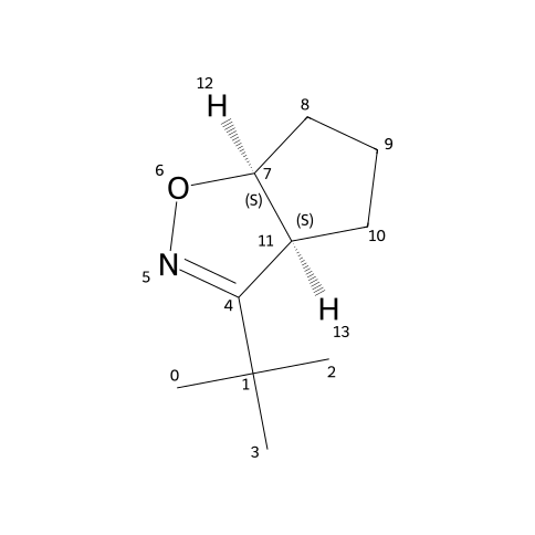 CC(C)(C)C1=NO[C@H]2CCC[C@@H]12